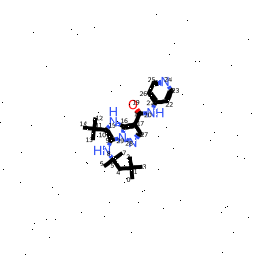 CC(C)(C)CC(C)(C)Nc1c(C(C)(C)C)[nH]c2c(C(=O)Nc3ccncc3)cnn12